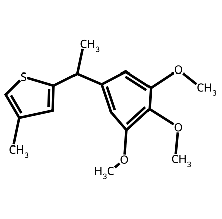 COc1cc(C(C)c2cc(C)cs2)cc(OC)c1OC